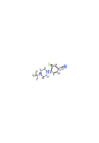 CC(C)(C)N1CCN(c2ccc(C#N)cc2F)CC1